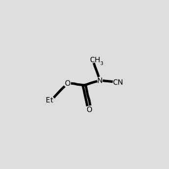 CCOC(=O)N(C)C#N